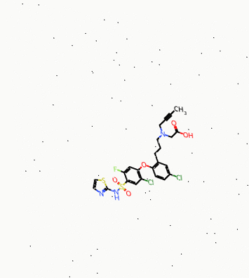 CC#CCN(CCCc1cc(Cl)ccc1Oc1cc(F)c(S(=O)(=O)Nc2nccs2)cc1Cl)CC(=O)O